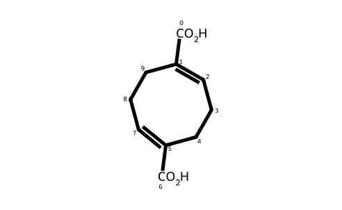 O=C(O)C1=CCCC(C(=O)O)=CCC1